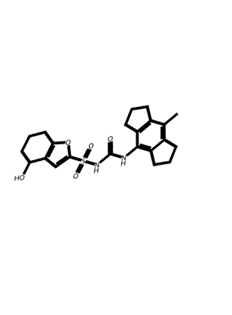 Cc1c2c(c(NC(=O)NS(=O)(=O)c3cc4c(o3)CCCC4O)c3c1CCC3)CCC2